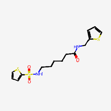 O=C(CCCCCNS(=O)(=O)c1cccs1)NCc1cccs1